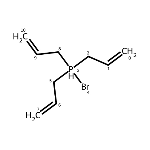 C=CC[PH](Br)(CC=C)CC=C